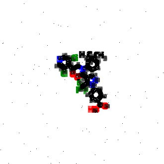 CC1(C)CCCC(N(CC(=O)c2c(Cl)cncc2Cl)C(=O)c2cnn([C@H]3CC[C@H](C(=O)O)CC3)c2C(F)(F)F)C1